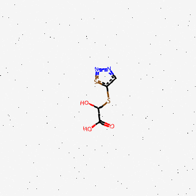 O=C(O)C(O)Sc1cnns1